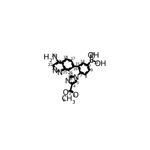 COC(=O)c1cn(-c2ccc(B(O)O)cc2-c2ccc3c(N)cnnc3c2)cn1